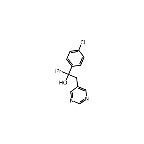 CC(C)C(O)(Cc1cncnc1)c1ccc(Cl)cc1